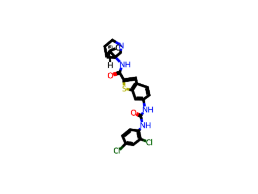 O=C(Nc1ccc2cc(C(=O)N[C@H]3CN4CCC3CC4)sc2c1)Nc1ccc(Cl)cc1Cl